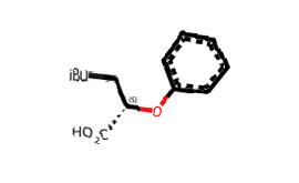 CCC(C)C[C@H](Oc1ccccc1)C(=O)O